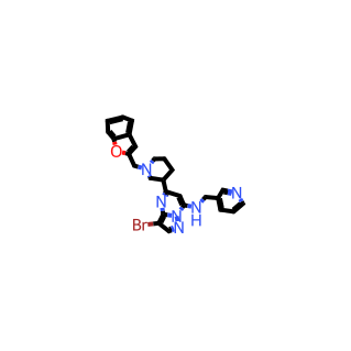 Brc1cnn2c(NCc3cccnc3)cc(C3CCCN(Cc4cc5ccccc5o4)C3)nc12